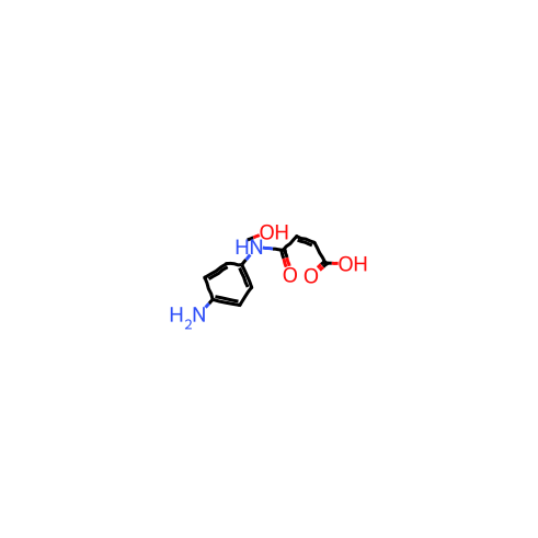 CO.Nc1ccc(NC(=O)/C=C\C(=O)O)cc1